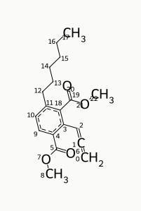 C=C=Cc1c(C(=O)OC)ccc(CCCCCC)c1C(=O)OC